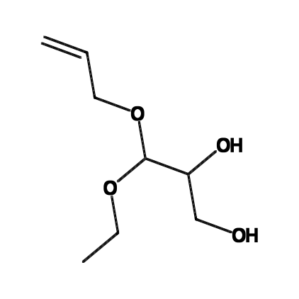 C=CCOC(OCC)C(O)CO